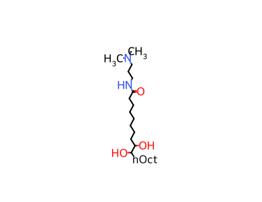 CCCCCCCCC(O)C(O)CCCCCCCC(=O)NCCCN(C)C